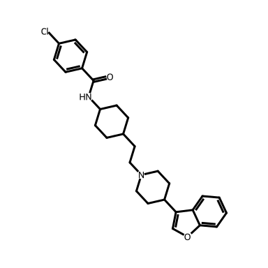 O=C(NC1CCC(CCN2CCC(c3coc4ccccc34)CC2)CC1)c1ccc(Cl)cc1